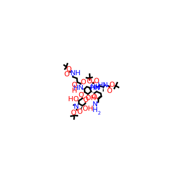 C[C@@H](CN[C@@H]1CC=C(CN)O[C@@H]1C1[C@@H](NC(=O)OC(C)(C)C)C[C@@H](NC(=O)[C@@H](O)CCNC(=O)OC(C)(C)C)[C@H](O[C@H]2OC[C@](C)(O)[C@H](N(C)C(=O)OC(C)(C)C)[C@H]2O)[C@H]1O)NC(=O)OC(C)(C)C